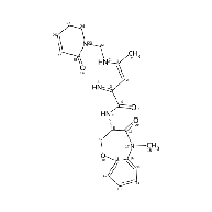 C/C(=C/C(=N)C(=O)N[C@H]1COc2ccccc2N(C)C1=O)NCN1CCC=CC1=O